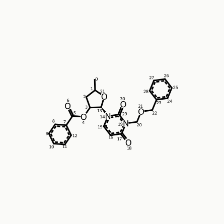 CC1CC(OC(=O)c2ccccc2)[C@H](n2ccc(=O)n(COCc3ccccc3)c2=O)O1